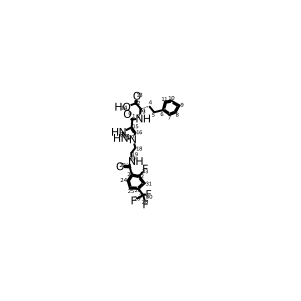 O=C(N[C@@H](CCc1ccccc1)C(=O)O)C1=CN(CCNC(=O)c2ccc(C(F)(F)F)cc2F)NN1